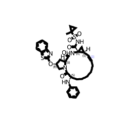 CC1(S(=O)(=O)NC(=O)[C@@]23C[C@H]2/C=C\CCCCC[C@H](Nc2ccccc2)C(=O)N2C[C@H](Oc4nc5ccccc5s4)C[C@H]2C(=O)N3)CC1